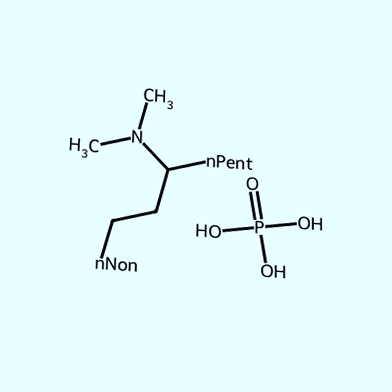 CCCCCCCCCCCC(CCCCC)N(C)C.O=P(O)(O)O